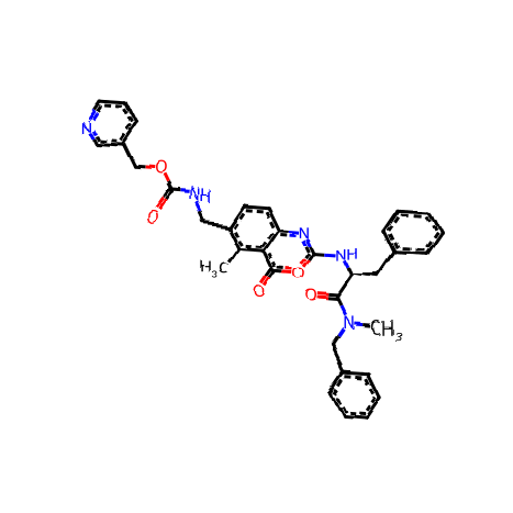 Cc1c(CNC(=O)OCc2cccnc2)ccc2nc(N[C@@H](Cc3ccccc3)C(=O)N(C)Cc3ccccc3)oc(=O)c12